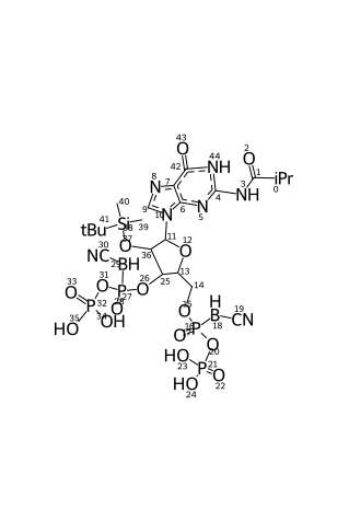 CC(C)C(=O)Nc1nc2c(ncn2C2OC(COP(=O)(BC#N)OP(=O)(O)O)C(OP(=O)(BC#N)OP(=O)(O)O)C2O[Si](C)(C)C(C)(C)C)c(=O)[nH]1